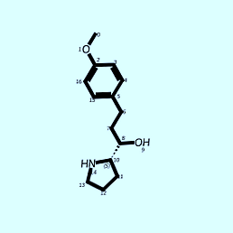 COc1ccc(CCC(O)[C@@H]2CCCN2)cc1